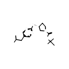 CC(C)Cc1cnc(N[C@H]2CCN(C(=O)OC(C)(C)C)C2)nc1